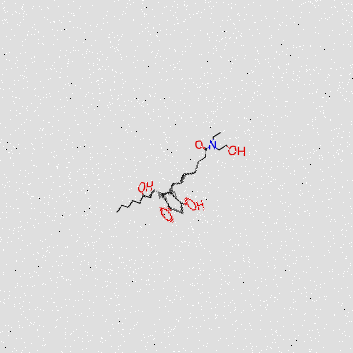 CCCCCC(O)C=C[C@H]1C(=O)CC(O)[C@@H]1CC=CCCCC(=O)N(CC)CCO